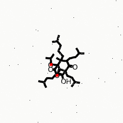 CC(C)CCCC1(C)C(CCC(C)C)C(=O)C2(CCC(C)C)C(=O)C1(C(=O)C(C)C)C(=O)C(CCC(C)C)=C2O